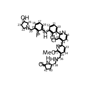 COc1nc(-c2ccnc(-c3cccc(Nc4cccc(CN5CC[C@H](O)C5)c4F)c3Cl)c2Cl)ccc1CNC[C@H]1CCC(=O)N1